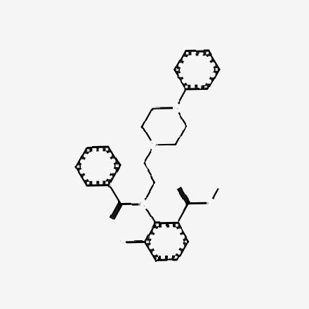 COC(=O)c1cccc(N)c1N(CCN1CCN(c2ccccc2)CC1)C(=O)c1ccccc1